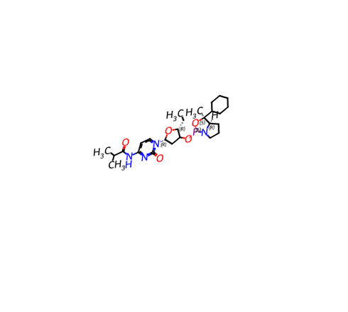 CC[C@H]1O[C@@H](n2ccc(NC(=O)C(C)C)nc2=O)CC1O[P@]1O[C@@](C)(C2CCCCC2)[C@H]2CCCN21